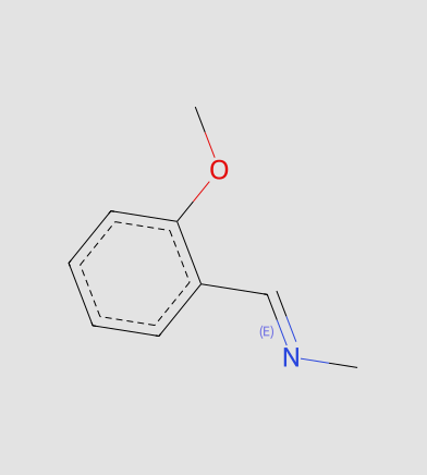 C/N=C/c1ccccc1OC